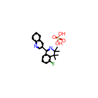 CC1(C)N=C(c2cnc3ccccc3c2)c2cccc(F)c2C1(C)C.O=S(=O)(O)O